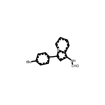 CC(C)(C)c1ccc(-c2cc(NC=O)c3ccccn23)cc1